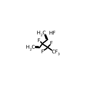 C=CC(F)(C=C)C(F)(F)C(F)(F)F.F